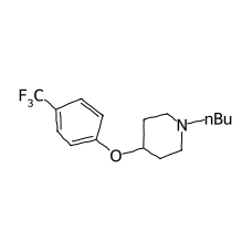 [CH2]CCCN1CCC(Oc2ccc(C(F)(F)F)cc2)CC1